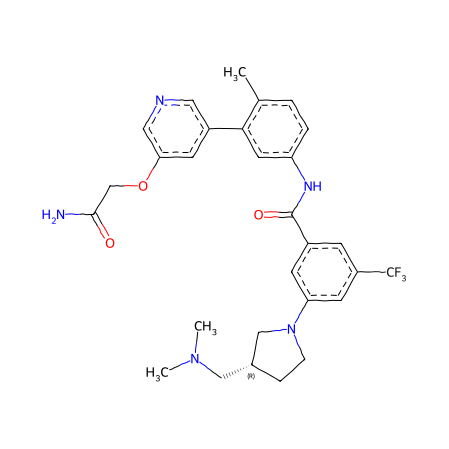 Cc1ccc(NC(=O)c2cc(N3CC[C@H](CN(C)C)C3)cc(C(F)(F)F)c2)cc1-c1cncc(OCC(N)=O)c1